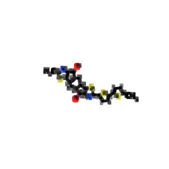 Cc1ccc(-c2ccc(-c3nc4c(=O)c5cc6c(cc5c4s3)c(=O)c3nc(C)sc36)s2)s1